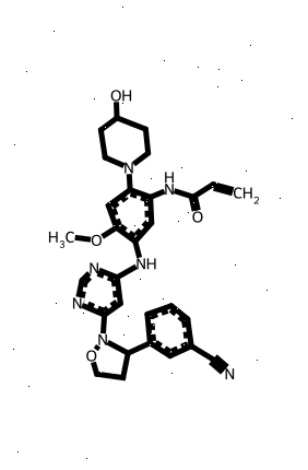 C=CC(=O)Nc1cc(Nc2cc(N3OCCC3c3cccc(C#N)c3)ncn2)c(OC)cc1N1CCC(O)CC1